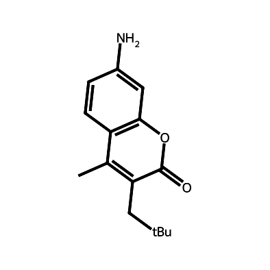 Cc1c(CC(C)(C)C)c(=O)oc2cc(N)ccc12